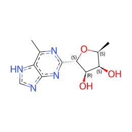 Cc1nc([C@@H]2O[C@@H](C)[C@@H](O)[C@H]2O)nc2nc[nH]c12